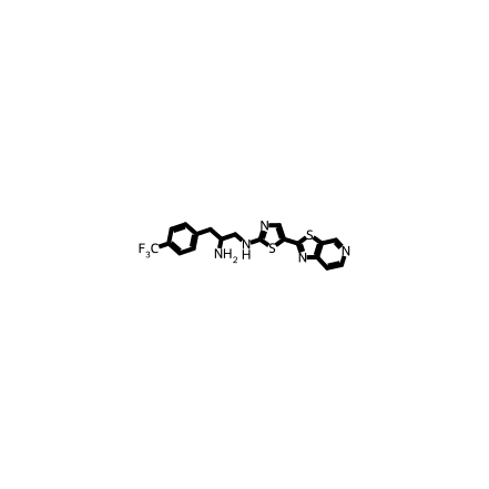 NC(CNc1ncc(-c2nc3ccncc3s2)s1)Cc1ccc(C(F)(F)F)cc1